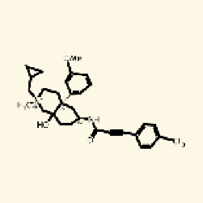 COc1cccc([C@@]23CC[N@+](C)(CC4CC4)CC2(O)CC[C@H](NC(=O)C#Cc2ccc(C(F)(F)F)cc2)C3)c1